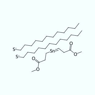 CCCCCCCCCCCC[S-].CCCCCCCCCCCC[S-].COC(=O)C[CH2][Sn+2][CH2]CC(=O)OC